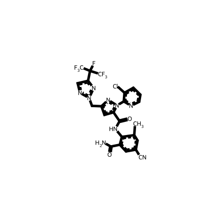 Cc1cc(C#N)cc(C(N)=O)c1NC(=O)c1cc(Cn2ncc(C(F)(C(F)(F)F)C(F)(F)F)n2)nn1-c1ncccc1Cl